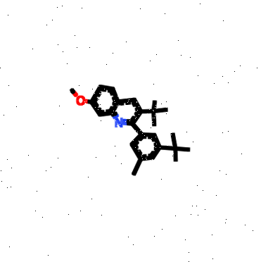 COc1ccc2cc(C(C)(C)C)c(-c3cc(C)cc(C(C)(C)C)c3)nc2c1